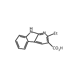 CCc1nc2[nH]c3ccccc3c2cc1C(=O)O